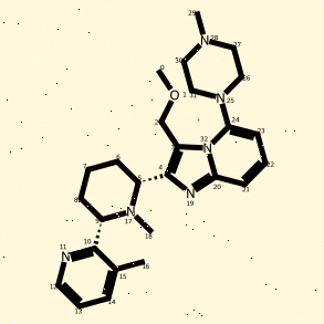 COCc1c([C@H]2CCC[C@@H](c3ncccc3C)N2C)nc2cccc(N3CCN(C)CC3)n12